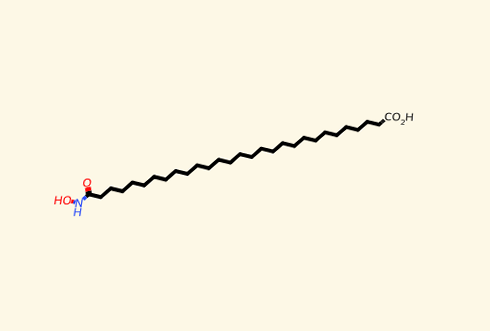 O=C(O)CCCCCCCCCCCCCCCCCCCCCCCCCCCC(=O)NO